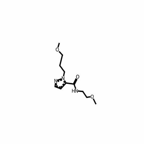 COCCCn1nccc1C(=O)NCCOC